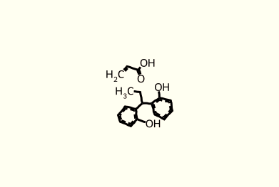 C=CC(=O)O.CCC(c1ccccc1O)c1ccccc1O